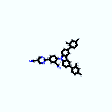 Cc1ccc(-c2ccc3c(c2)c2cc(-c4ccc(C)cc4C)ccc2n3-c2ccc(-c3ncc(C#N)cn3)cc2C#N)c(C)c1